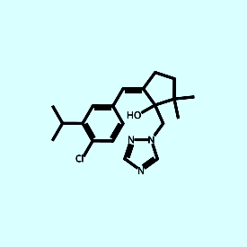 CC(C)c1cc(C=C2CCC(C)(C)C2(O)Cn2cncn2)ccc1Cl